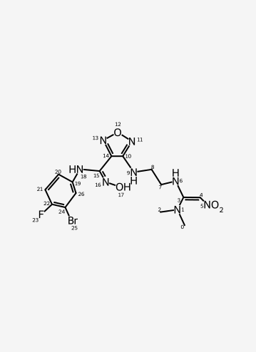 CN(C)C(=C[N+](=O)[O-])NCCNc1nonc1C(=NO)Nc1ccc(F)c(Br)c1